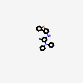 Cc1cc(Nc2ccc3sc4ccccc4c3c2)cc(N(c2ccccc2)c2ccccc2)c1